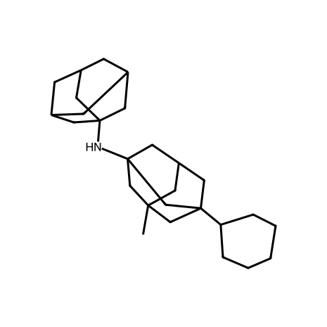 CC12CC3CC(NC45CC6CC(CC(C6)C4)C5)(C1)CC(C1CCCCC1)(C3)C2